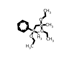 CCO[Si](C)(C[Si](C)(OCC)c1ccccc1)OCC